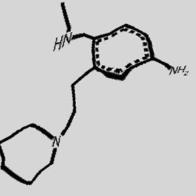 CNc1ccc(N)cc1CCN1CCCCC1